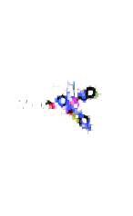 COCC(=O)N1CCC(NC(=O)c2cc3cc(F)ccc3[nH]2)C(NC(=O)c2nc3c(s2)CN(C(C)C)CC3)C1.Cl